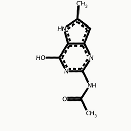 CC(=O)Nc1nc(O)c2[nH]c(C)cc2n1